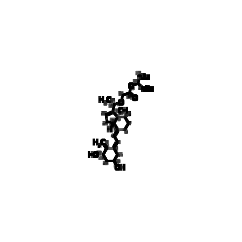 C=C1C(=CC=C2CCC[C@]3(C)C([C@H](C)OCC(=O)OC(CCCC)CCCC)=CC[C@@H]23)C[C@@H](O)C[C@@H]1O